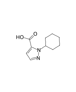 O=C(O)c1ccnn1C1CCCCC1